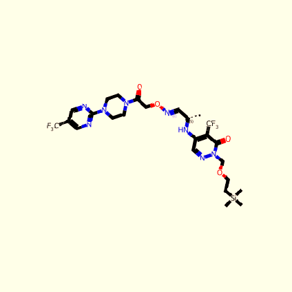 C[C@@H](/C=N/OCC(=O)N1CCN(c2ncc(C(F)(F)F)cn2)CC1)Nc1cnn(COCC[Si](C)(C)C)c(=O)c1C(F)(F)F